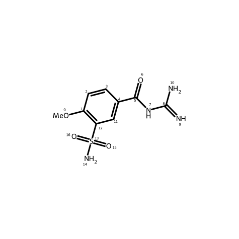 COc1ccc(C(=O)NC(=N)N)cc1S(N)(=O)=O